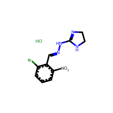 Cl.O=[N+]([O-])c1cccc(Br)c1C=NNC1=NCCN1